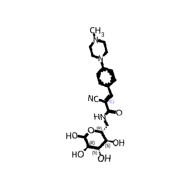 CN1CCN(c2ccc(/C=C(\C#N)C(=O)NC[C@H]3OC(O)[C@H](O)[C@@H](O)[C@@H]3O)cc2)CC1